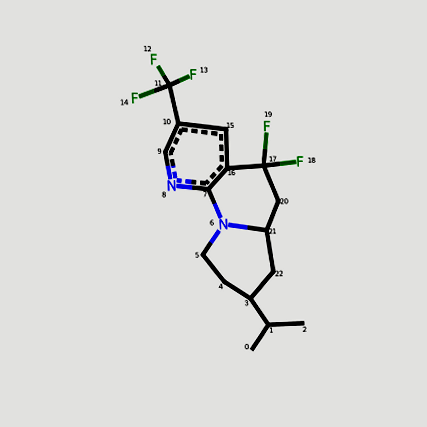 CC(C)C1CCN2c3ncc(C(F)(F)F)cc3C(F)(F)CC2C1